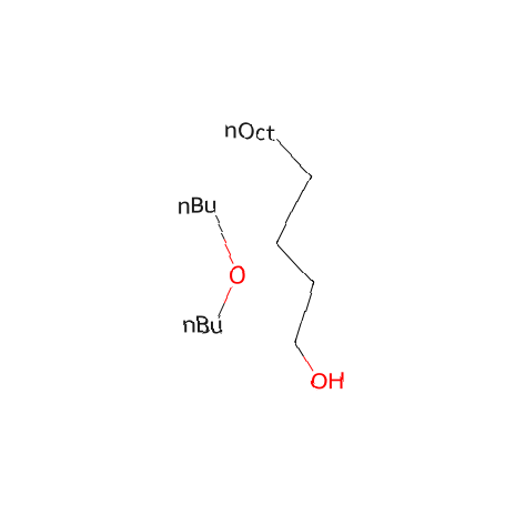 CCCCCCCCCCCCO.CCCCOCCCC